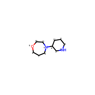 C1CNCC(N2CCCOCC2)C1